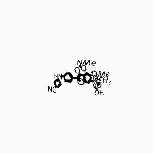 CNC(=O)Oc1c(-c2ccc(Nc3ccc(C#N)cc3)cc2)oc2cc(N(CCO)S(C)(=O)=O)c(OC)cc12